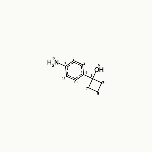 Nc1ccc(C2(O)CCC2)cc1